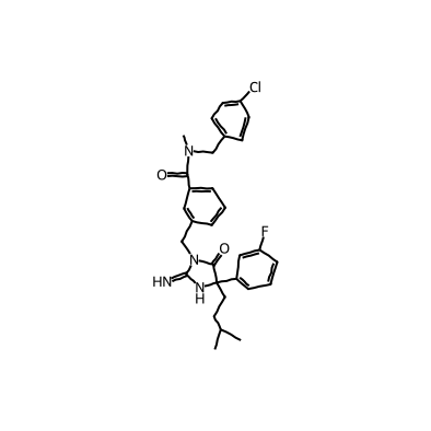 CC(C)CCC1(c2cccc(F)c2)NC(=N)N(Cc2cccc(C(=O)N(C)Cc3ccc(Cl)cc3)c2)C1=O